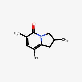 Cc1cc(C(C)C)c2n(c1=O)CC(C)C2